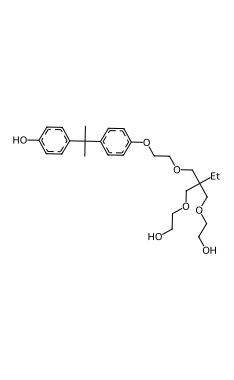 CCC(COCCO)(COCCO)COCCOc1ccc(C(C)(C)c2ccc(O)cc2)cc1